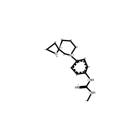 CNC(=N)Nc1ccc(N2CCC[C@@]3(CCO3)C2)cc1